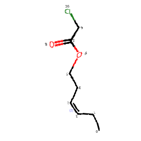 CC/C=C\CCOC(=O)CCl